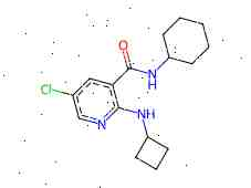 O=C(NC1CCCCC1)c1cc(Cl)cnc1NC1CCC1